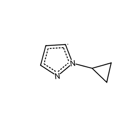 [c]1ccnn1C1CC1